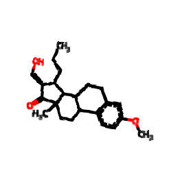 CCCC1/C(=C\O)C(=O)C2(C)CCC3c4ccc(OC)cc4CCC3C12